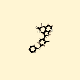 Cc1nc(Oc2ccccc2)ncc1-c1sc2nccc3c2c1NC(=O)N3